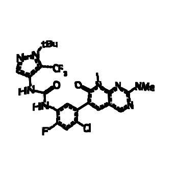 CNc1ncc2cc(-c3cc(NC(=O)Nc4cnn(C(C)(C)C)c4C(F)(F)F)c(F)cc3Cl)c(=O)n(C)c2n1